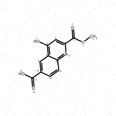 COC(=O)c1cc(O)c2cc(C(=O)O)ccc2n1